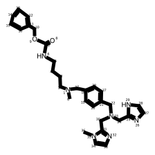 CN(CCCCNC(=O)OCc1ccccc1)Cc1ccc(CN(Cc2ncc[nH]2)Cc2nccn2C)cc1